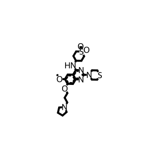 COc1cc2c(NC3CCS(=O)(=O)CC3)nc(N3CCSCC3)nc2cc1OCCCN1CCCC1